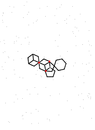 C1CCC2(CC1)CCC(C1CC3CC(C1)C3N1CCN3CCCC3C1)C2